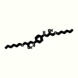 CCCCCCOCC(O)CNc1ccc(NCC(O)COCCCCCC)cc1